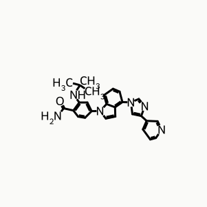 CC(C)(C)Nc1cc(-n2ccc3c(-n4cnc(-c5cccnc5)c4)cccc32)ccc1C(N)=O